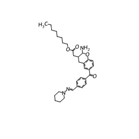 CCCCCCCCOC(=O)CC1Cc2cc(C(=O)c3ccc(C=NN4CCCCC4)cc3)ccc2OC1N